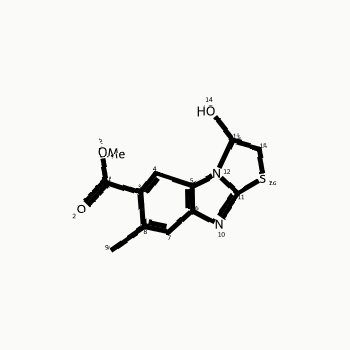 COC(=O)c1cc2c(cc1C)nc1n2C(O)CS1